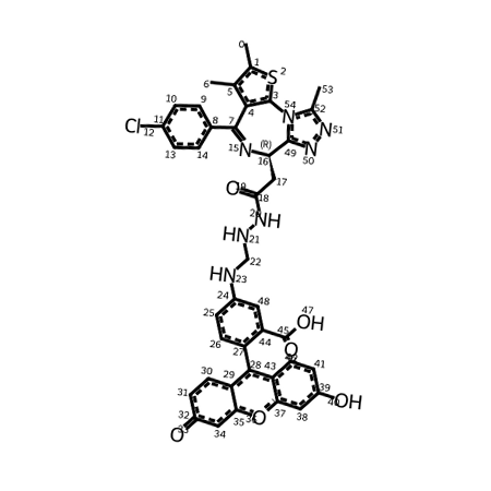 Cc1sc2c(c1C)C(c1ccc(Cl)cc1)=N[C@H](CC(=O)NNCNc1ccc(-c3c4ccc(=O)cc-4oc4cc(O)ccc34)c(C(=O)O)c1)c1nnc(C)n1-2